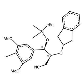 COc1cc([C@@H](O[Si](C)(C)C(C)(C)C)[C@H](CC#N)OC2Cc3ccccc3C2)cc(OC)c1C